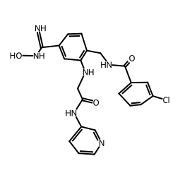 N=C(NO)c1ccc(CNC(=O)c2cccc(Cl)c2)c(NCC(=O)Nc2cccnc2)c1